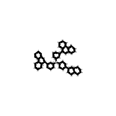 c1cc(-c2cc3ccccc3c3ccccc23)cc(N(c2ccc(-c3ccc4ccccc4c3)cc2)c2cccc(-c3cc4ccccc4c4ccccc34)c2)c1